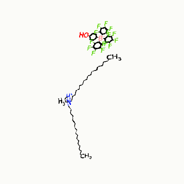 CCCCCCCCCCCCCCCCCC[NH+](C)CCCCCCCCCCCCCCCCCC.Oc1ccc([B-](c2c(F)c(F)c(F)c(F)c2F)(c2c(F)c(F)c(F)c(F)c2F)c2c(F)c(F)c(F)c(F)c2F)cc1